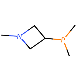 CN1CC(P(C)C)C1